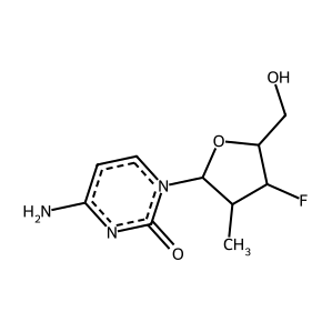 CC1C(F)C(CO)OC1n1ccc(N)nc1=O